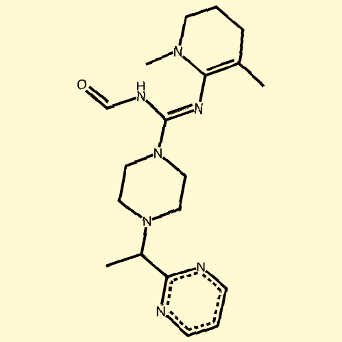 CC1=C(/N=C(\NC=O)N2CCN(C(C)c3ncccn3)CC2)N(C)CCC1